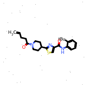 C=CCCC(=O)N1CCC(c2nc(C(=O)Nc3ccccc3C(C)(C)C)cs2)CC1